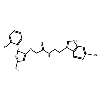 COc1ccc2c(CCNC(=O)COc3cc(C(F)(F)F)nn3-c3ccccc3Cl)c[nH]c2c1